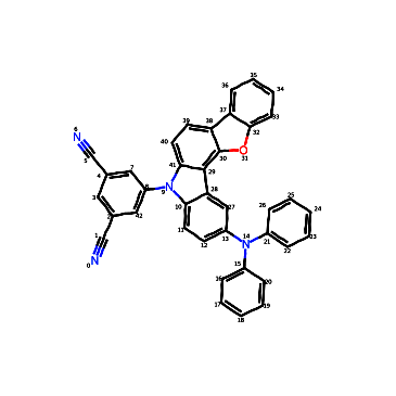 N#Cc1cc(C#N)cc(-n2c3ccc(N(c4ccccc4)c4ccccc4)cc3c3c4oc5ccccc5c4ccc32)c1